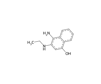 CCNc1cc(O)c2ccccc2c1N